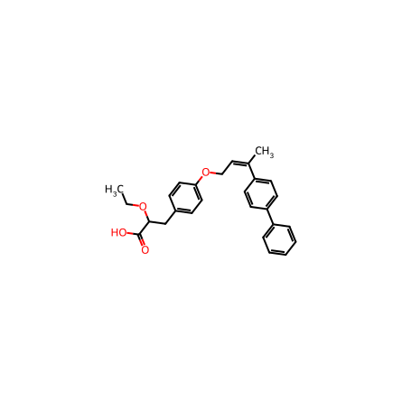 CCOC(Cc1ccc(OCC=C(C)c2ccc(-c3ccccc3)cc2)cc1)C(=O)O